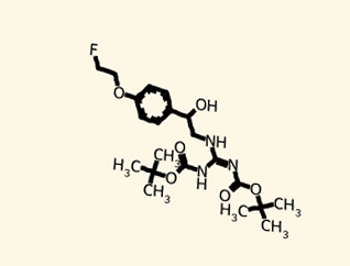 CC(C)(C)OC(=O)/N=C(/NCC(O)c1ccc(OCCF)cc1)NC(=O)OC(C)(C)C